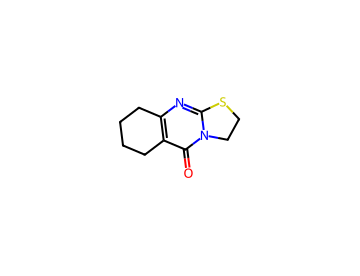 O=c1c2c(nc3n1CCS3)CCCC2